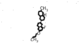 C/C=C/COc1cc(F)c2cc([C@@H]3CC[C@@H]4CC(C)CCC4C3)ccc2c1